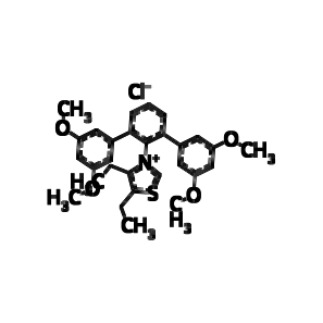 CCc1sc[n+](-c2c(-c3cc(OC)cc(OC)c3)cccc2-c2cc(OC)cc(OC)c2)c1CC.[Cl-]